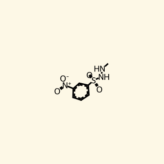 CNNS(=O)(=O)c1cccc([N+](=O)[O-])c1